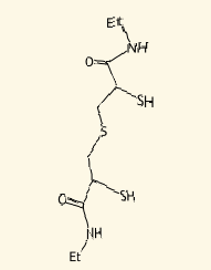 CCNC(=O)C(S)CSCC(S)C(=O)NCC